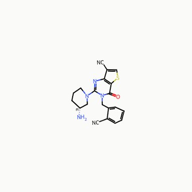 N#Cc1ccccc1Cn1c(N2CCC[C@@H](N)C2)nc2c(C#N)csc2c1=O